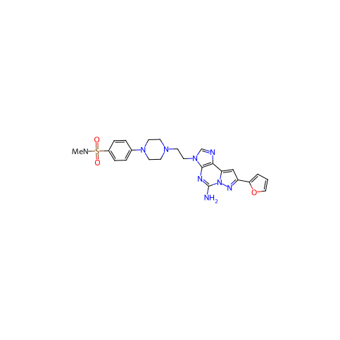 CNS(=O)(=O)c1ccc(N2CCN(CCn3cnc4c3nc(N)n3nc(-c5ccco5)cc43)CC2)cc1